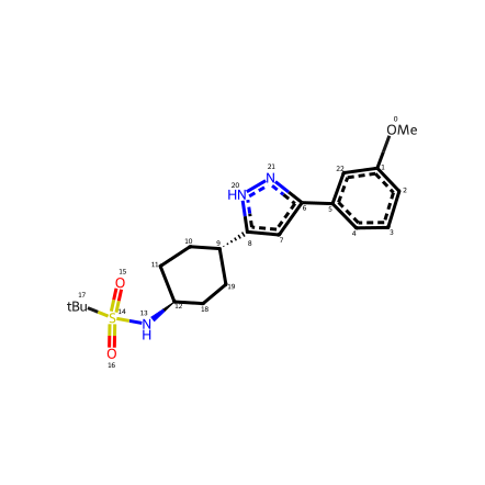 COc1cccc(-c2cc([C@H]3CC[C@H](NS(=O)(=O)C(C)(C)C)CC3)[nH]n2)c1